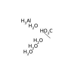 CC(=O)O.O.O.O.O.[AlH3]